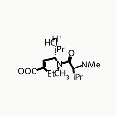 CC/C(=C\[C@H](C(C)C)N(C)C(=O)[C@@H](NC)C(C)C)C(=O)[O-].Cl.[H+]